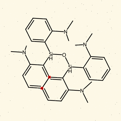 CN(C)c1ccccc1[SiH](O[SiH](c1ccccc1N(C)C)c1ccccc1N(C)C)c1ccccc1N(C)C